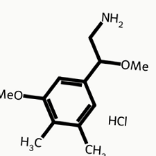 COc1cc(C(CN)OC)cc(C)c1C.Cl